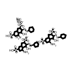 Nc1cc(S(=O)(=O)O)cc2cc(S(=O)(=O)[O-])c(N=Nc3ccccc3)c(O)c12.Nc1cc(S(=O)(=O)O)cc2cc(S(=O)(=O)[O-])c(N=Nc3ccccc3)c(O)c12.Nc1cc(S(=O)(=O)O)cc2cc(S(=O)(=O)[O-])c(N=Nc3ccccc3)c(O)c12.[Na+].[Na+].[Na+]